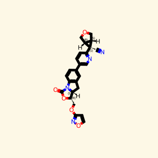 N#C[C@]1(c2ccc(-c3ccc4c(c3)C[C@H]3[C@H](COc5ccon5)OC(=O)N43)cn2)[C@@H]2COC[C@@H]21